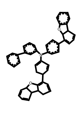 C1=CC2OC3=C(C4C=CC(N(c5ccc(C6=CC=CC7c8ccccc8OC67)cc5)c5cccc(-c6ccccc6)c5)=CC4)C=CCC3C2C=C1